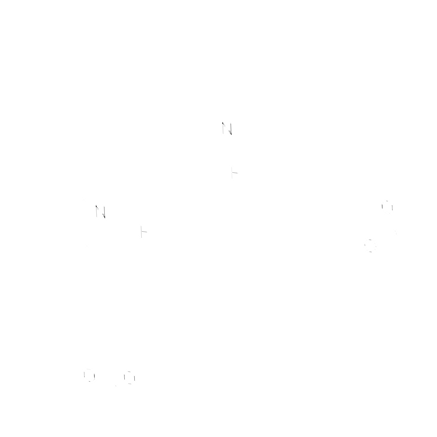 C=CC(=O)Oc1ccc(-c2ccc(N(c3ccccc3)c3ccc(-c4ccc(N(c5ccccc5)c5ccc(-c6ccc(OC(=O)C=C)cc6)cc5F)cc4)cc3)c(F)c2)cc1